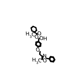 Cc1oc(-c2ccccc2)nc1CCOc1ccc(C(O)OC(=O)C2(C)CCCCC2)cc1